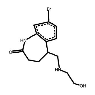 O=C1CCC(CNCCO)c2ccc(Br)cc2N1